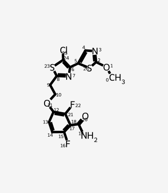 COc1ncc(-c2nc(CCOc3ccc(F)c(C(N)=O)c3F)sc2Cl)s1